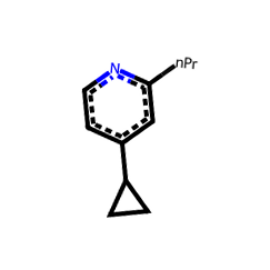 CCCc1cc(C2CC2)ccn1